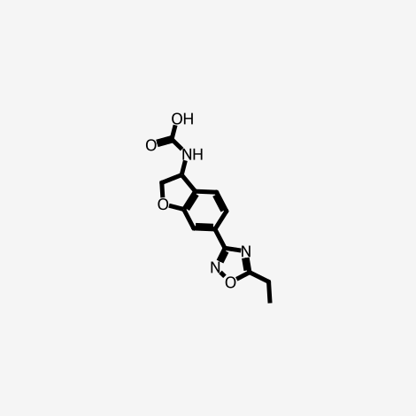 CCc1nc(-c2ccc3c(c2)OCC3NC(=O)O)no1